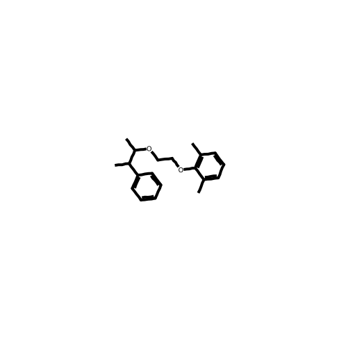 Cc1cccc(C)c1OCCOC(C)C(C)c1ccccc1